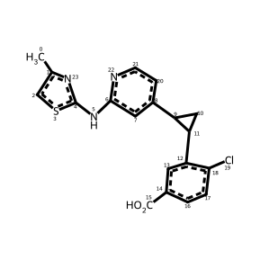 Cc1csc(Nc2cc(C3CC3c3cc(C(=O)O)ccc3Cl)ccn2)n1